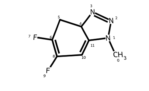 CN1N=NC2CC(F)=C(F)C=C21